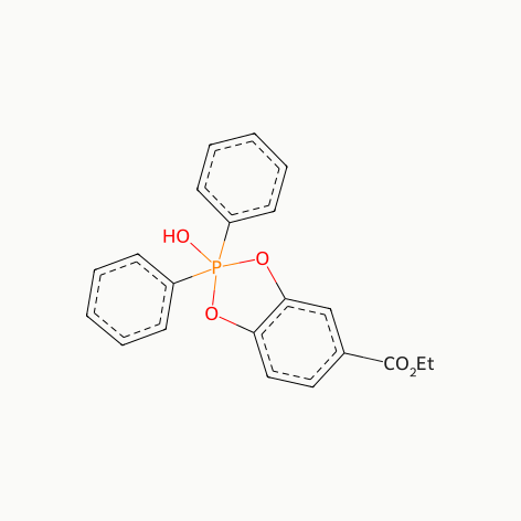 CCOC(=O)c1ccc2c(c1)OP(O)(c1ccccc1)(c1ccccc1)O2